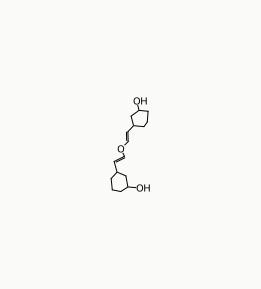 OC1CCCC(C=COC=CC2CCCC(O)C2)C1